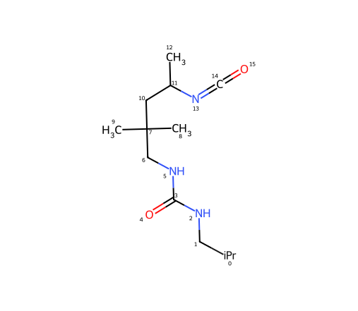 CC(C)CNC(=O)NCC(C)(C)CC(C)N=C=O